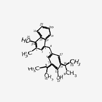 Cc1cc(Cc2cc(C(C)C)c(O)c(C(C)C)c2)c2ccccc2c1O